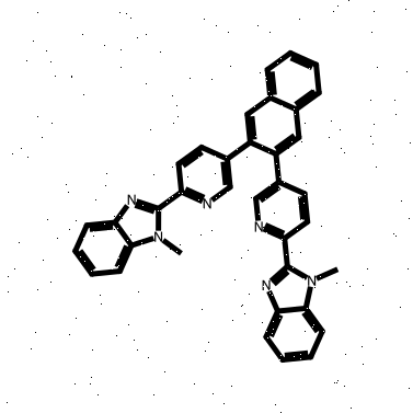 Cn1c(-c2ccc(-c3cc4ccccc4cc3-c3ccc(-c4nc5ccccc5n4C)nc3)cn2)nc2ccccc21